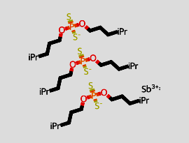 CC(C)CCCOP(=S)([S-])OCCCC(C)C.CC(C)CCCOP(=S)([S-])OCCCC(C)C.CC(C)CCCOP(=S)([S-])OCCCC(C)C.[Sb+3]